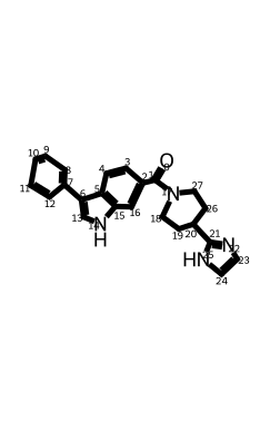 O=C(c1ccc2c(-c3ccccc3)c[nH]c2c1)N1CCC(c2ncc[nH]2)CC1